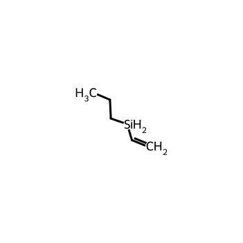 C=C[SiH2]CCC